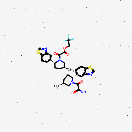 C[C@H]1CC[C@H](c2ccc3scnc3c2)N(C(=O)C(=O)OCC(F)(F)F)C1.C[C@H]1CC[C@H](c2ccc3scnc3c2)N(C(=O)C(N)=O)C1